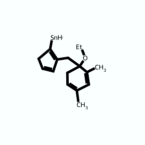 CCOC1(CC2=[C]([SnH])CC=C2)CC=C(C)C=C1C